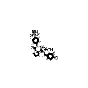 Cc1nnc([C@H]2CCCN2C(=O)Nc2ccc(S(N)(=O)=O)cc2)n1Cc1ccc(Cl)cc1